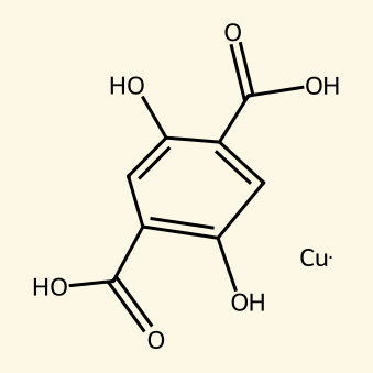 O=C(O)c1cc(O)c(C(=O)O)cc1O.[Cu]